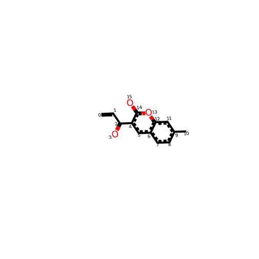 C=CC(=O)c1cc2ccc(C)cc2oc1=O